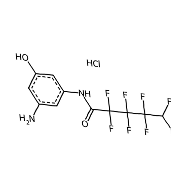 Cl.Nc1cc(O)cc(NC(=O)C(F)(F)C(F)(F)C(F)(F)C(F)F)c1